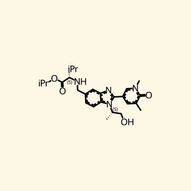 Cc1cc(-c2nc3cc(CN[C@H](C(=O)OC(C)C)C(C)C)ccc3n2[C@@H](C)CO)cn(C)c1=O